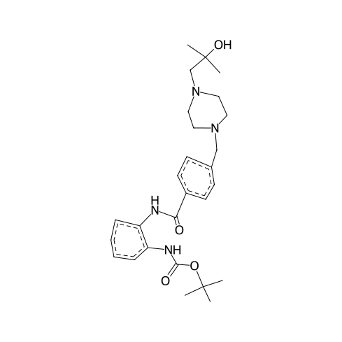 CC(C)(O)CN1CCN(Cc2ccc(C(=O)Nc3ccccc3NC(=O)OC(C)(C)C)cc2)CC1